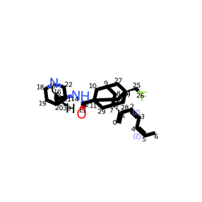 C=C(/C=C\C=C/C)[C@]12CC3CC(C(=O)N[C@H]4CN5CCC4CC5)(C[C@](CF)(C3)C1)C2